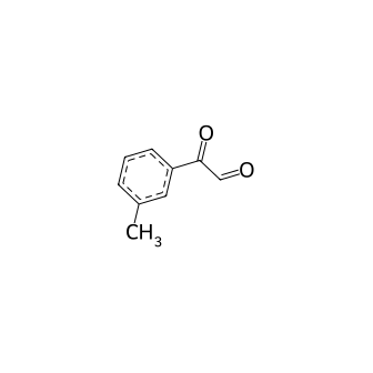 Cc1cccc(C(=O)C=O)c1